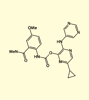 CNC(=O)c1cc(OC)ccc1NC(=O)Oc1nc(C2CC2)cnc1Nc1cncnc1